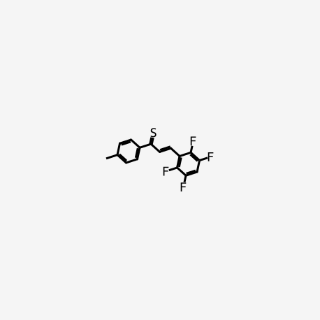 Cc1ccc(C(=S)C=Cc2c(F)c(F)cc(F)c2F)cc1